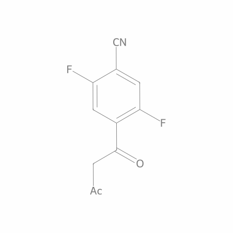 CC(=O)CC(=O)c1cc(F)c(C#N)cc1F